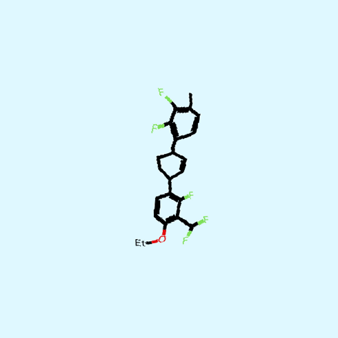 CCOc1ccc(C2C=CC(c3ccc(C)c(F)c3F)CC2)c(F)c1C(F)F